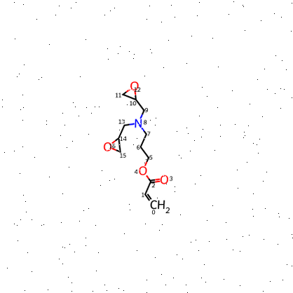 C=CC(=O)OCCCN(CC1CO1)CC1CO1